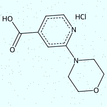 Cl.O=C(O)c1ccnc(N2CCOCC2)c1